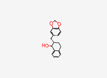 OC1c2ccccc2CCC1Cc1ccc2c(c1)OCO2